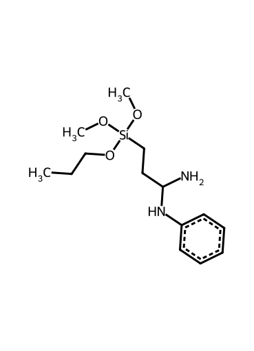 CCCO[Si](CCC(N)Nc1ccccc1)(OC)OC